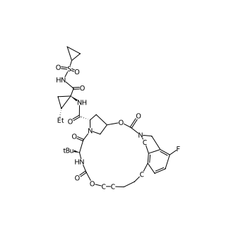 CC[C@@H]1C[C@]1(NC(=O)[C@@H]1CC2CN1C(=O)[C@H](C(C)(C)C)NC(=O)OCCCCCc1ccc(F)c3c1CN(C3)C(=O)O2)C(=O)NS(=O)(=O)C1CC1